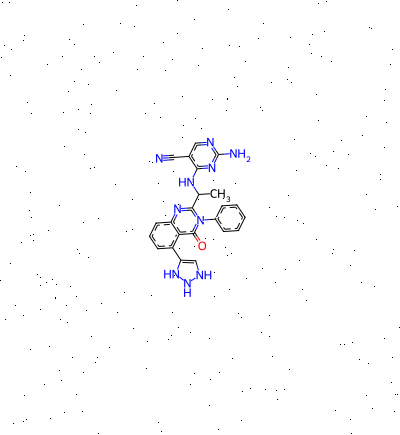 CC(Nc1nc(N)ncc1C#N)c1nc2cccc(C3=CNNN3)c2c(=O)n1-c1ccccc1